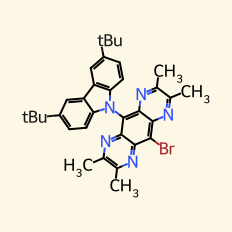 Cc1nc2c(Br)c3nc(C)c(C)nc3c(-n3c4ccc(C(C)(C)C)cc4c4cc(C(C)(C)C)ccc43)c2nc1C